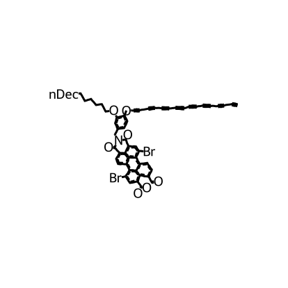 C#CC#CC#CC#CC#CC#CC#CC#COc1ccc(CN2C(=O)c3ccc4c5c(Br)cc6c7c(ccc(c8c(Br)cc(c3c48)C2=O)c75)C(=O)OC6=O)cc1OCCCCCCCCCCCCCCCC